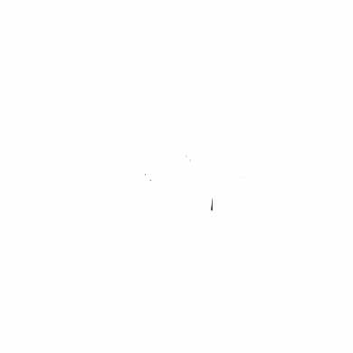 CC[C@H](O)CN(Cc1nc(C(F)(F)F)ccc1O)C(=O)O